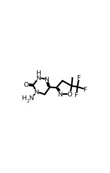 CC1(C(F)(F)F)CC(C2=NNC(=O)N(N)C2)=NO1